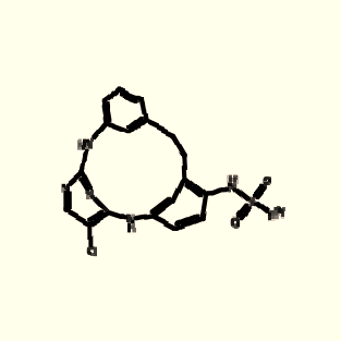 CCCS(=O)(=O)Nc1ccc2cc1CCc1cccc(c1)Nc1ncc(Cl)c(n1)N2